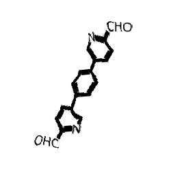 O=Cc1ccc(-c2ccc(-c3ccc(C=O)nc3)cc2)cn1